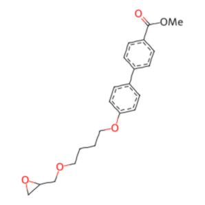 COC(=O)c1ccc(-c2ccc(OCCCCOCC3CO3)cc2)cc1